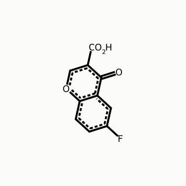 O=C(O)c1coc2ccc(F)cc2c1=O